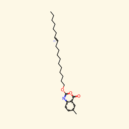 CCCCCC/C=C/CCCCCCCCCCOc1nc2ccc(C)cc2c(=O)o1